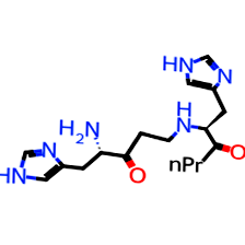 CCCC(=O)[C@H](Cc1c[nH]cn1)NCCC(=O)[C@@H](N)Cc1c[nH]cn1